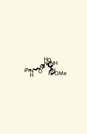 COc1cncc(-c2c[nH]c(=O)c(NC3CN(C(=O)C=CCNC(C)C)C3)c2)n1